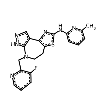 Cc1cccc(Nc2nc3c(s2)CCN(Cc2ncccc2F)c2[nH]ncc2-3)n1